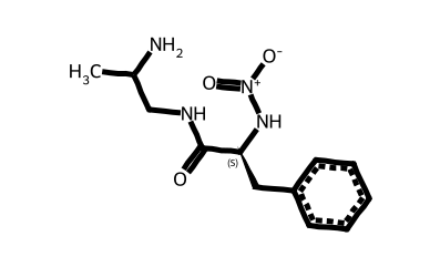 CC(N)CNC(=O)[C@H](Cc1ccccc1)N[N+](=O)[O-]